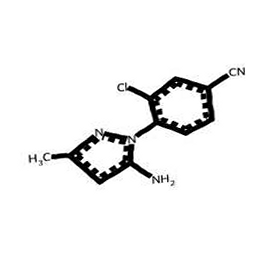 Cc1cc(N)n(-c2ccc(C#N)cc2Cl)n1